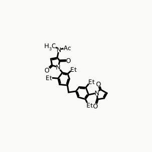 CCc1cc(Cc2cc(CC)c(N3C(=O)C=C(N(C)C(C)=O)C3=O)c(CC)c2)cc(CC)c1N1C(=O)C=CC1=O